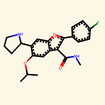 CNC(=O)c1c(-c2ccc(F)cc2)oc2cc(C3CCCN3)c(OC(C)C)cc12